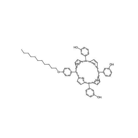 CCCCCCCCCCCOc1ccc(-c2c3nc(c(-c4cccc(O)c4)c4ccc([nH]4)c(-c4cccc(O)c4)c4nc(c(-c5cccc(O)c5)c5ccc2[nH]5)C=C4)C=C3)cc1